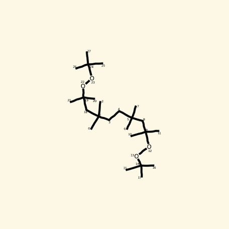 CC(C)(CCC(C)(C)CC(C)(C)OOC(C)(C)C)CC(C)(C)OOC(C)(C)C